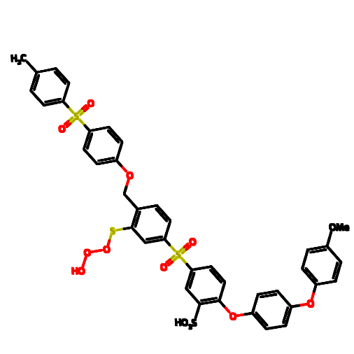 COc1ccc(Oc2ccc(Oc3ccc(S(=O)(=O)c4ccc(COc5ccc(S(=O)(=O)c6ccc(C)cc6)cc5)c(SOOO)c4)cc3S(=O)(=O)O)cc2)cc1